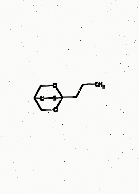 CCCC12OCC(CO1)CS2